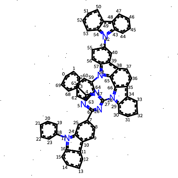 c1ccc(-c2nc(-c3ccc4c5ccccc5n(-c5ccccc5)c4c3)nc(-n3c4ccccc4c4ccc5c6cc(-n7c8ccccc8c8ccccc87)ccc6n(-c6ccccc6)c5c43)n2)cc1